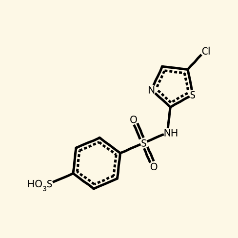 O=S(=O)(O)c1ccc(S(=O)(=O)Nc2ncc(Cl)s2)cc1